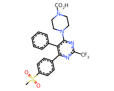 CS(=O)(=O)c1ccc(-c2nc(C(F)(F)F)nc(N3CCN(C(=O)O)CC3)c2-c2ccccc2)cc1